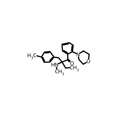 CCC(Cc1ccc(C)cc1)(NC)C(=O)c1ccccc1N1CCOCC1